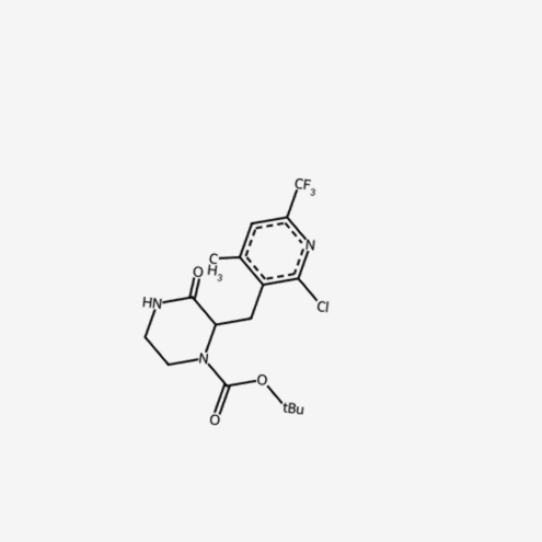 Cc1cc(C(F)(F)F)nc(Cl)c1CC1C(=O)NCCN1C(=O)OC(C)(C)C